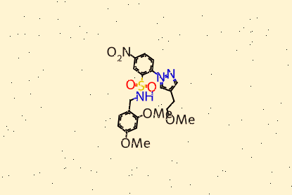 COCCc1cnn(-c2ccc([N+](=O)[O-])cc2S(=O)(=O)NCc2ccc(OC)cc2OC)c1